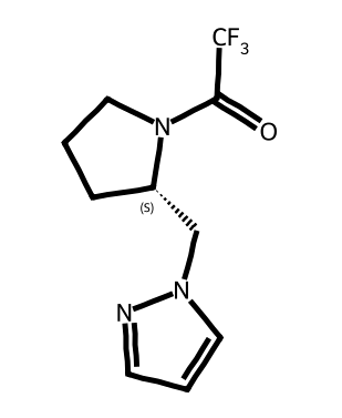 O=C(N1CCC[C@H]1Cn1cccn1)C(F)(F)F